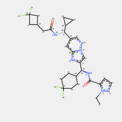 CCn1nccc1C(=O)N[C@H](c1cn2ncc([C@H](NC(=O)CC3CC(F)(F)C3)C3CC3)cc2n1)C1CCC(F)(F)CC1